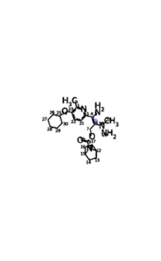 Cc1nc(/C(N)=C(\COC(=O)N2C3CCC2CC3)N(C)N)ccc1OC1CCCCC1